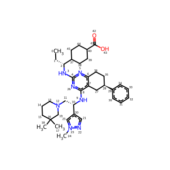 CC[C@@H](Nc1nc2c(c(N[C@@H](CN3CCCC(C)(C)C3)c3cnn(C)c3)n1)C[C@H](c1ccccc1)CC2)C1CCC(C(=O)O)CC1